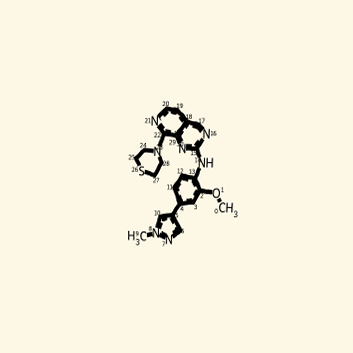 COc1cc(-c2cnn(C)c2)ccc1Nc1ncc2ccnc(N3CCSCC3)c2n1